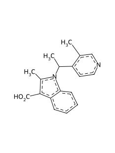 Cc1cnccc1C(C)n1c(C)c(C(=O)O)c2ccccc21